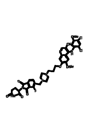 COc1cc(Nc2c(C#N)cnc3cc(OCCCN4CCN(Cc5ccc6c(c5F)C(=O)N(C5CCC(=O)NC5=O)C6=O)CC4)c(OC)cc23)c(Cl)cc1Cl